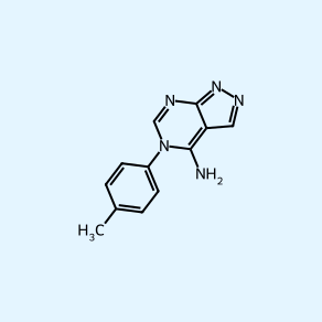 Cc1ccc(-n2cnc3nncc-3c2N)cc1